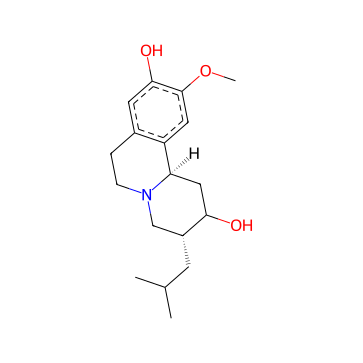 COc1cc2c(cc1O)CCN1C[C@@H](CC(C)C)C(O)C[C@H]21